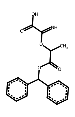 CC(OC(=N)C(=O)O)C(=O)OC(c1ccccc1)c1ccccc1